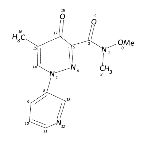 CON(C)C(=O)c1nn(-c2cccnc2)cc(C)c1=O